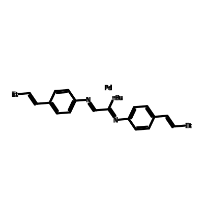 CC/C=C/c1ccc(/N=C/C(CCCC)=N/c2ccc(/C=C/CC)cc2)cc1.[Pd]